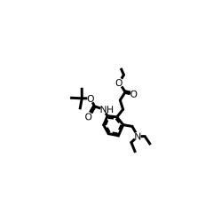 CCOC(=O)CCc1c(CN(CC)CC)cccc1NC(=O)OC(C)(C)C